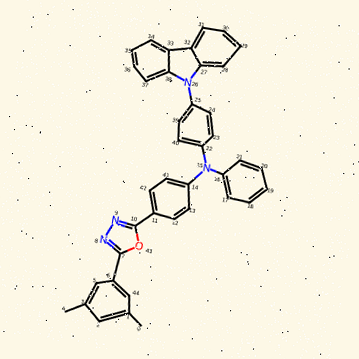 Cc1cc(C)cc(-c2nnc(-c3ccc(N(c4ccccc4)c4ccc(-n5c6ccccc6c6ccccc65)cc4)cc3)o2)c1